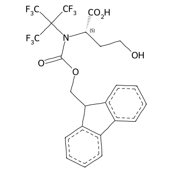 O=C(O)[C@H](CCO)N(C(=O)OCC1c2ccccc2-c2ccccc21)C(C(F)(F)F)(C(F)(F)F)C(F)(F)F